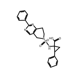 O=C(O)C1(NS(=O)(=O)N2CCc3nc(-c4ccccc4)ncc3C2)CC1c1ccccc1